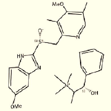 CC([C@@H](O)c1ccccc1)[N+](C)(C)C.COc1ccc2[nH]c([S@+]([O-])Cc3ncc(C)c(OC)c3C)nc2c1